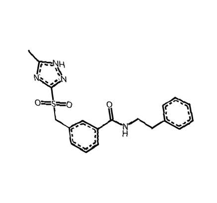 Cc1nc(S(=O)(=O)Cc2cccc(C(=O)NCCc3ccccc3)c2)n[nH]1